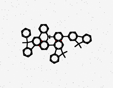 CC1(C)c2ccccc2-c2ccc(-c3ccc(N(c4ccccc4-c4ccc5c(c4)C(C)(c4ccccc4)c4ccccc4-5)c4ccccc4-c4cccc5c4-c4ccccc4C5(C)C)cc3)cc21